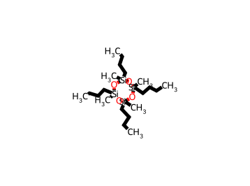 CCCC[Si]1(C)O[Si](C)(CCCC)O[Si](C)(CCCC)O[Si](C)(CCCC)O1